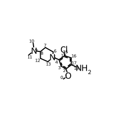 COc1cc(N2CCC(N(C)C)CC2)c(Cl)cc1N